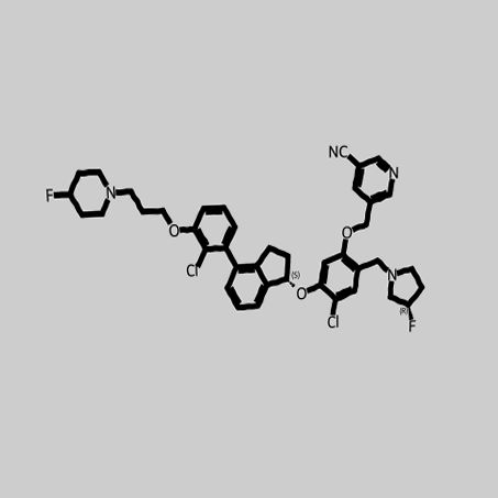 N#Cc1cncc(COc2cc(O[C@H]3CCc4c(-c5cccc(OCCCN6CCC(F)CC6)c5Cl)cccc43)c(Cl)cc2CN2CC[C@@H](F)C2)c1